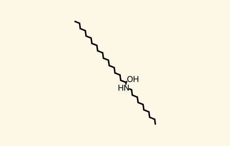 CCCCCCCCCCCCCCCCCC(O)NCCCCCCCCCC